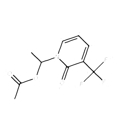 CC(=O)OC(C)n1cccc(C(F)(F)F)c1=O